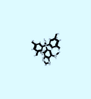 COc1cc(P(=O)(c2cc(C)cc(C)c2)c2cc(C)cc(C)c2)c(Br)c2c1OCO2